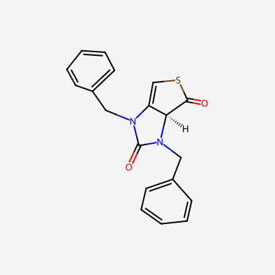 O=C1SC=C2[C@@H]1N(Cc1ccccc1)C(=O)N2Cc1ccccc1